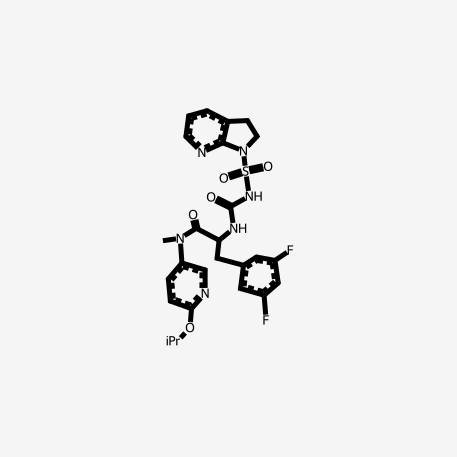 CC(C)Oc1ccc(N(C)C(=O)C(Cc2cc(F)cc(F)c2)NC(=O)NS(=O)(=O)N2CCc3cccnc32)cn1